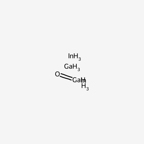 [GaH3].[InH3].[InH3].[O]=[GaH]